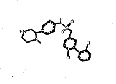 CN1CCNCC1c1ccc(NS(=O)(=O)Cc2ccc(Cl)c(-c3ccccc3Cl)c2)cc1